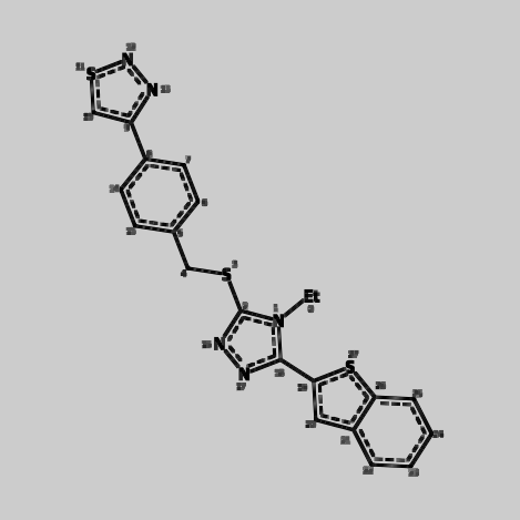 CCn1c(SCc2ccc(-c3csnn3)cc2)nnc1-c1cc2ccccc2s1